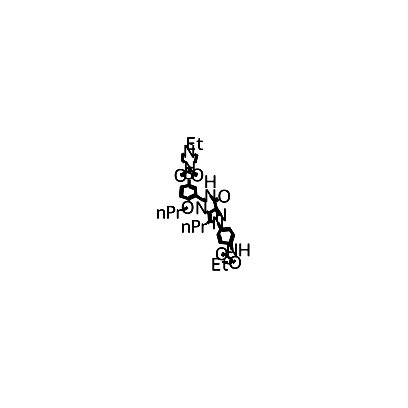 CCCOc1ccc(S(=O)(=O)N2CCN(CC)CC2)cc1-c1nc2c(CCC)n(-c3ccc(NS(=O)(=O)CC)cc3)nc2c(=O)[nH]1